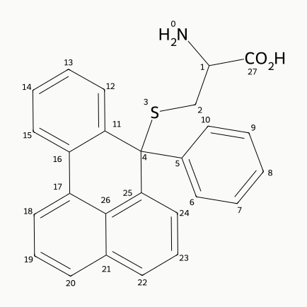 NC(CSC1(c2ccccc2)c2ccccc2-c2cccc3cccc1c23)C(=O)O